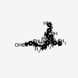 Cc1cc(-c2ccnn2C)ccc1[C@H](Cc1ccc(O)c(-c2cc(C#Cc3cnn([C@H](C)C4CCN(C5CC(C=O)C5)CC4)c3)c(N)nn2)c1)NC(=O)[C@@H]1C[C@@H](O)CN1C(=O)[C@@H](c1cc(N2CCC(OC3CCNCC3)CC2)no1)C(C)C